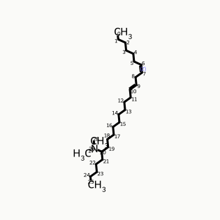 CCCCCC/C=C\CC=CCCCCCCCCCC(CCCCC)N(C)C